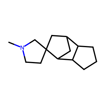 CN1CCC2(CC3CC2C2CCCC32)C1